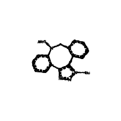 CCC(C)n1nnc2c1-c1ccccc1CN(SC)c1ccccc1-2